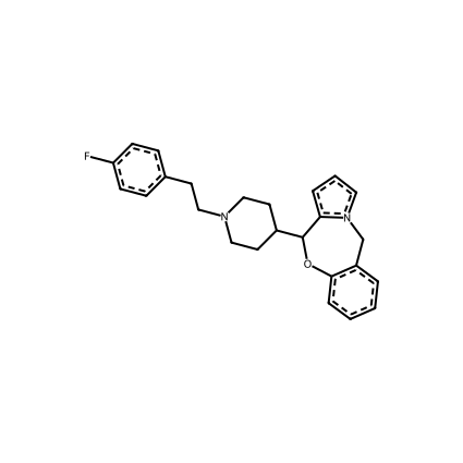 Fc1ccc(CCN2CCC(C3Oc4ccccc4Cn4cccc43)CC2)cc1